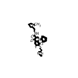 CN1CCCC1CCNC(=O)c1cn2c3c(c(SCCc4cnccn4)c(F)cc3c1=O)Oc1ccccc1-2